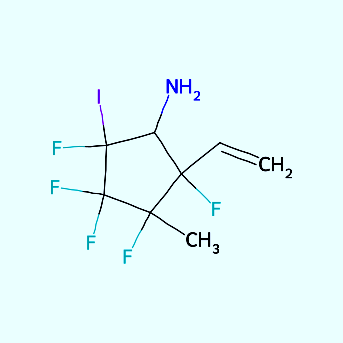 C=CC1(F)C(N)C(F)(I)C(F)(F)C1(C)F